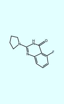 O=c1[nH]c(N2CCCC2)nc2cccc(F)c12